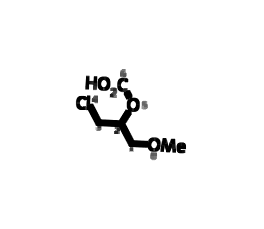 COCC(CCl)OC(=O)O